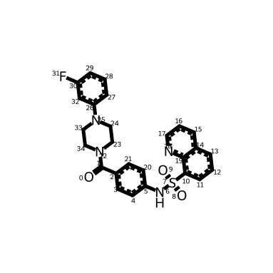 O=C(c1ccc(NS(=O)(=O)c2cccc3cccnc23)cc1)N1CCN(c2cccc(F)c2)CC1